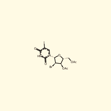 CC(=O)OC[C@H]1O[C@@H](n2cc(I)c(=O)[nH]c2=O)[C@H](Br)[C@@H]1OC(C)=O